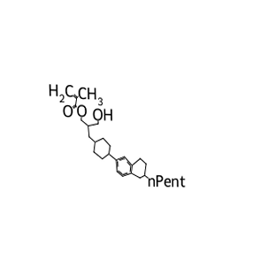 C=C(C)C(=O)OCC(CO)CC1CCC(c2ccc3c(c2)CCC(CCCCC)C3)CC1